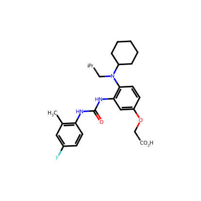 Cc1cc(F)ccc1NC(=O)Nc1cc(OCC(=O)O)ccc1N(CC(C)C)C1CCCCC1